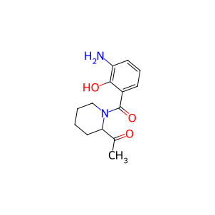 CC(=O)C1CCCCN1C(=O)c1cccc(N)c1O